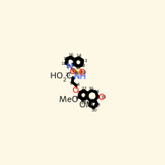 COc1c(OCCC(NS(=O)(=O)c2cccc3cccnc23)C(=O)O)cc2c(c1OC)C1=C(CCC1)C(=O)CC2